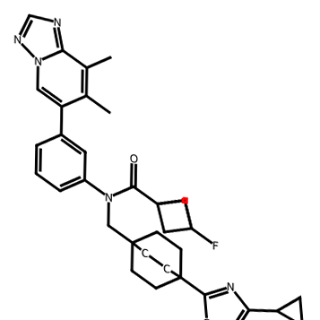 Cc1c(-c2cccc(N(CC34CCC(c5nc(C6CC6)no5)(CC3)CC4)C(=O)C34CC(F)(C3)C4)c2)cn2ncnc2c1C